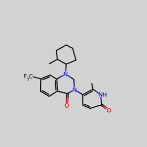 Cc1[nH]c(=O)ccc1N1CN(C2CCCCC2C)c2cc(C(F)(F)F)ccc2C1=O